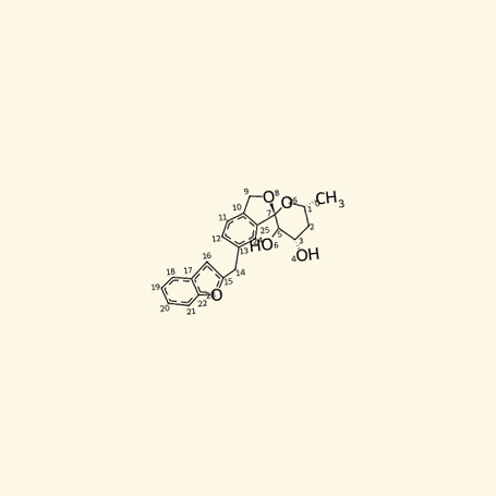 C[C@@H]1C[C@H](O)C(O)[C@@]2(OCc3ccc(Cc4cc5ccccc5o4)cc32)O1